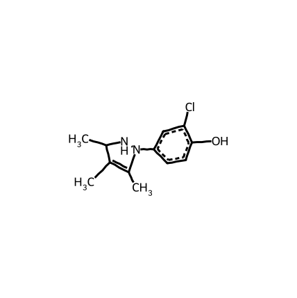 CC1=C(C)N(c2ccc(O)c(Cl)c2)NC1C